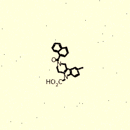 Cc1ccc2c(c1)c1c(n2CC(=O)O)CCN(C(=O)c2cccc3ccccc23)C1